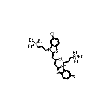 CCC(/C=C1\Sc2ccc(Cl)cc2N1CCC[N+](CC)(CC)CC)=C\c1sc2ccc(Cl)cc2[n+]1CCC[N+](CC)(CC)CC